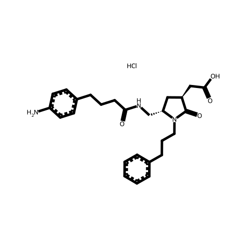 Cl.Nc1ccc(CCCC(=O)NC[C@@H]2C[C@@H](CC(=O)O)C(=O)N2CCCc2ccccc2)cc1